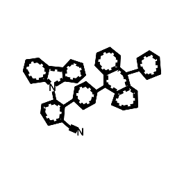 N#Cc1cccc(-n2c3ccccc3c3ccccc32)c1-c1ccc(-c2c3ccccc3c(-c3ccccc3)c3ccccc23)cc1